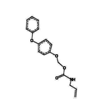 C=CCNC(=O)OCOc1ccc(Oc2ccccc2)cc1